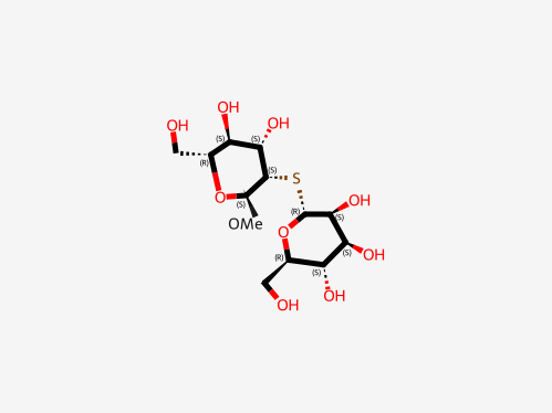 CO[C@H]1O[C@H](CO)[C@@H](O)[C@H](O)[C@@H]1S[C@H]1O[C@H](CO)[C@@H](O)[C@H](O)[C@@H]1O